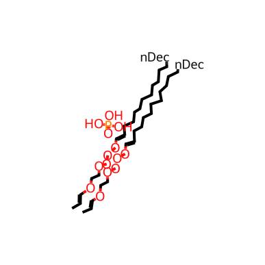 CC=COCCOOOOC=CCCCCCCCCCCCCCCCCCCCC.CC=COCCOOOOC=CCCCCCCCCCCCCCCCCCCCC.O=P(O)(O)O